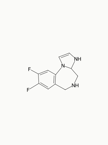 Fc1cc2c(cc1F)N1C=CNC1CNC2